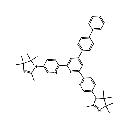 CC1=NC(C)(C)C(C)(C)N1c1ccc(-c2cc(-c3ccc(-c4ccccc4)cc3)cc(-c3ccc(N4C(C)=NC(C)(C)C4(C)C)cn3)n2)nc1